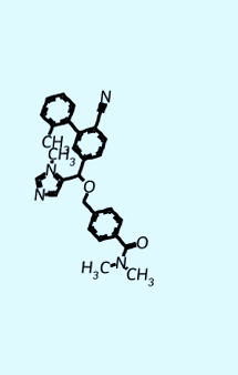 Cc1ccccc1-c1cc(C(OCc2ccc(C(=O)N(C)C)cc2)c2cncn2C)ccc1C#N